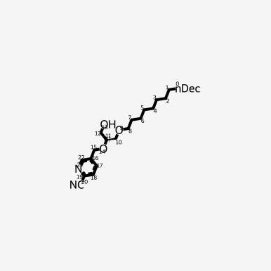 CCCCCCCCCCCCCCCCCCOC[C@H](CO)OCc1ccc(C#N)nc1